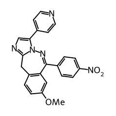 COc1ccc2c(c1)C(c1ccc([N+](=O)[O-])cc1)=Nn1c(-c3ccncc3)cnc1C2